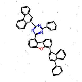 c1ccc(-c2nc(-c3cc4ccccc4c4ccccc34)nc(-c3cccc4oc5c(-c6ccc(-c7ccccc7)c7ccccc67)cccc5c34)n2)cc1